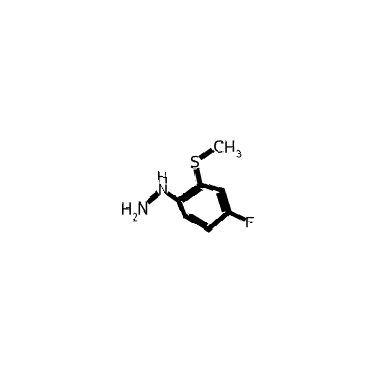 CSc1cc(F)ccc1NN